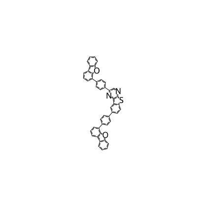 c1ccc2c(c1)oc1c(-c3ccc(-c4ccc5sc6ncc(-c7ccc(-c8cccc9c8oc8ccccc89)cc7)nc6c5c4)cc3)cccc12